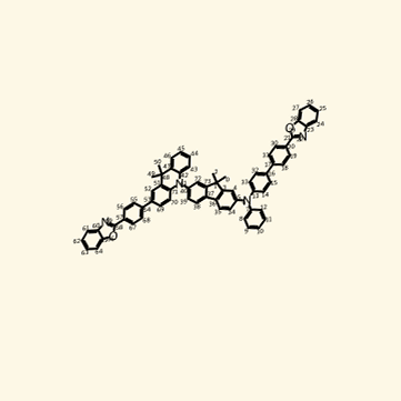 CC1(C)c2cc(N(c3ccccc3)c3ccc(-c4ccc(-c5nc6ccccc6o5)cc4)cc3)ccc2-c2ccc(N3c4ccccc4C(C)(C)c4cc(-c5ccc(-c6nc7ccccc7o6)cc5)ccc43)cc21